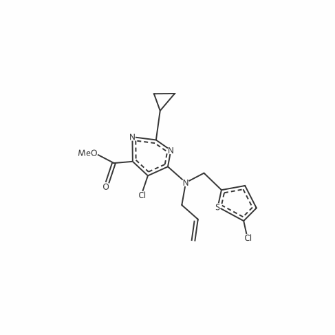 C=CCN(Cc1ccc(Cl)s1)c1nc(C2CC2)nc(C(=O)OC)c1Cl